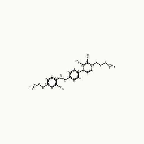 CCCCc1ccc(-c2ccc(COc3ccc(CCC)cc3F)cc2)c(F)c1F